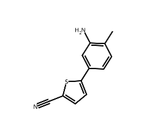 Cc1ccc(-c2ccc(C#N)s2)cc1N